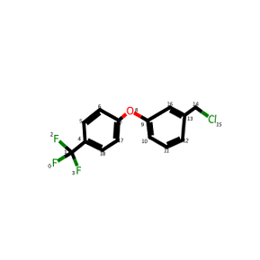 FC(F)(F)c1ccc(Oc2cccc(CCl)c2)cc1